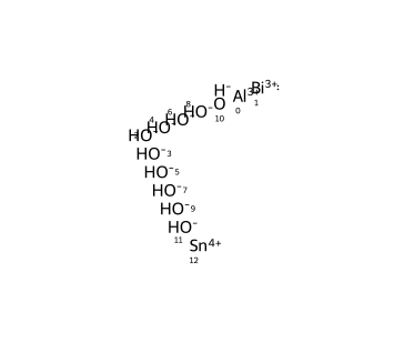 [Al+3].[Bi+3].[OH-].[OH-].[OH-].[OH-].[OH-].[OH-].[OH-].[OH-].[OH-].[OH-].[Sn+4]